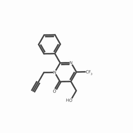 C#CCn1c(-c2ccccc2)nc(C(F)(F)F)c(CO)c1=O